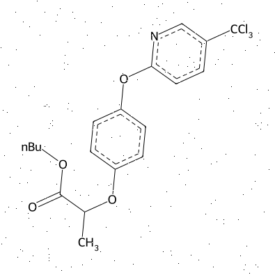 CCCCOC(=O)C(C)Oc1ccc(Oc2ccc(C(Cl)(Cl)Cl)cn2)cc1